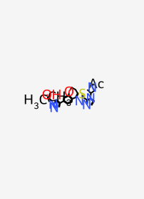 CC(=O)N1CC(n2ccnc2-c2nc3c(s2)CCOc2cc(-c4cnn(CC(C)(C)O)c4)ccc2-3)C1